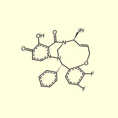 CC(C)[C@H]1/C=C/COc2c(ccc(F)c2F)[C@H](c2ccccc2)N2CN1C(=O)c1c(O)c(=O)ccn12